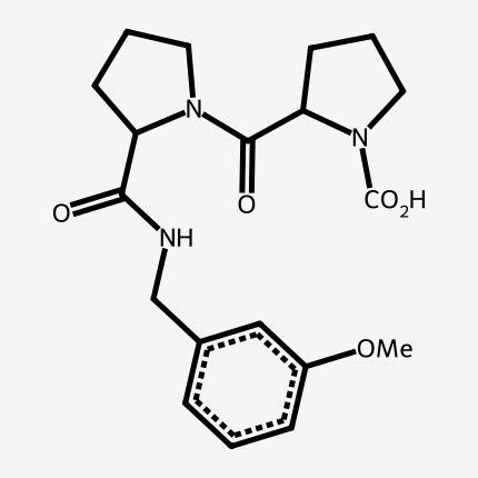 COc1cccc(CNC(=O)C2CCCN2C(=O)C2CCCN2C(=O)O)c1